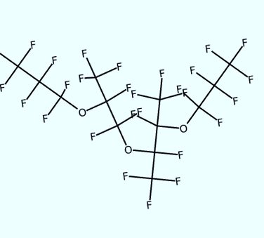 FC(F)(F)C(F)(F)C(F)(F)OC(F)(C(F)(F)F)C(F)(F)OC(F)(C(F)(F)F)C(F)(OC(F)(F)C(F)(F)C(F)(F)F)C(F)(F)F